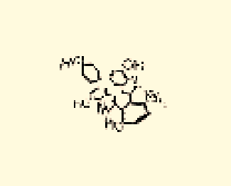 Cc1nc2c(O)cccc2cc1-c1c(O)cc[c]([AlH2])c1-c1cc2cccc(O)c2nc1C.Oc1ccccc1